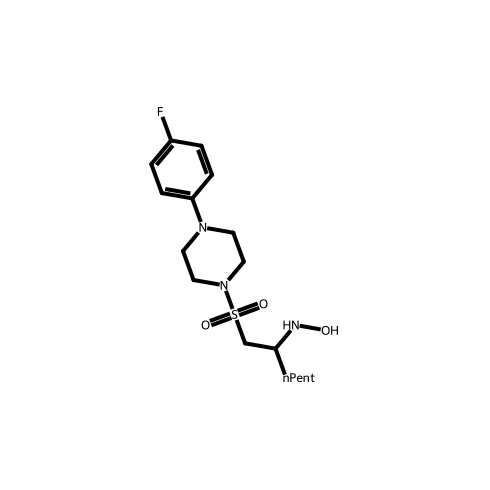 CCCCCC(CS(=O)(=O)N1CCN(c2ccc(F)cc2)CC1)NO